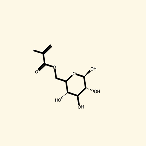 C=C(C)C(=O)OCC1O[C@@H](O)[C@H](O)C(O)[C@@H]1O